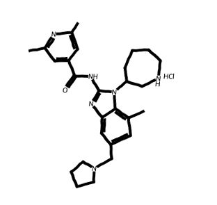 Cc1cc(C(=O)Nc2nc3cc(CN4CCCC4)cc(C)c3n2C2CCCCNC2)cc(C)n1.Cl